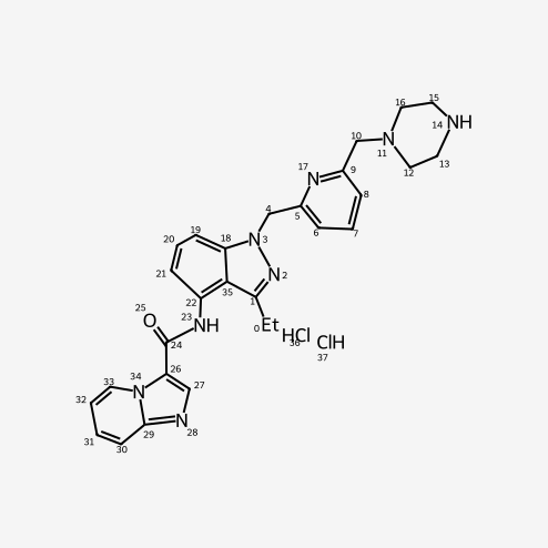 CCc1nn(Cc2cccc(CN3CCNCC3)n2)c2cccc(NC(=O)c3cnc4ccccn34)c12.Cl.Cl